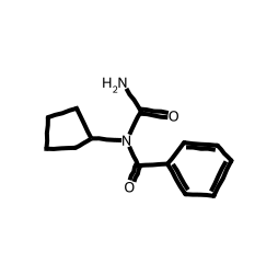 NC(=O)N(C(=O)c1ccccc1)C1CCCC1